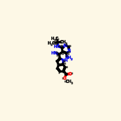 COC(=O)c1ccc2cc(C(=N)c3c(N)ncnc3NC(C)(C)C)[nH]c2c1